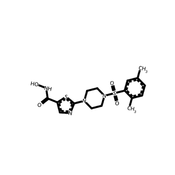 Cc1ccc(C)c(S(=O)(=O)N2CCN(c3ncc(C(=O)NO)s3)CC2)c1